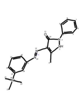 Cc1[nH]n(-c2ccccc2)c(=O)c1/N=N/c1cccc([N+](C)(C)C)c1